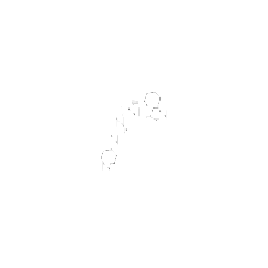 Cc1cnc2cccc([C@@H](C)NC(=O)N3CCN(c4ccnc(F)c4)C[C@H]3C)n12